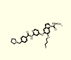 CNC(=O)n1ccc2cc(Oc3ccnc(NC(=O)c4ccc(CN5CCCC5)cc4)c3)c(OCCCF)cc21